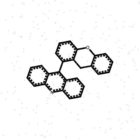 [CH]1c2ccccc2Oc2cccc(-c3c4ccccc4nc4ccccc34)c21